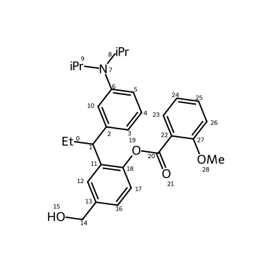 CCC(c1cccc(N(C(C)C)C(C)C)c1)c1cc(CO)ccc1OC(=O)c1ccccc1OC